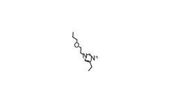 CCCOCCn1cc(CC)[n+](C)c1